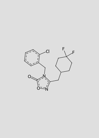 O=c1onc(CC2CCC(F)(F)CC2)n1Cc1ccccc1Cl